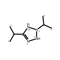 CC(C)C1=NNN(C(C)C)N1